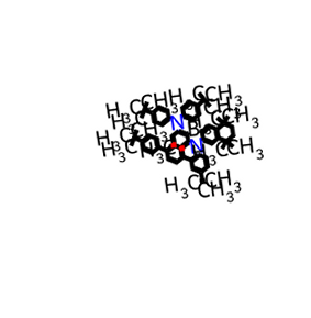 Cc1cc2c3c(c1)N(c1ccc(C(C)(C)C)cc1-c1ccc(-c4ccc(C(C)(C)C)cc4)cc1)c1cc4c(cc1B3c1cc(C(C)(C)C)ccc1N2c1ccc(C(C)(C)C)cc1)C(C)(C)CCC4(C)C